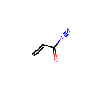 C=CC(=O)[N+]#N